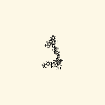 Cc1ncsc1-c1ccc(CNC(=O)[C@@H]2C[C@@H](O)CN2C(=O)[C@@H](NC(=O)COCc2ccc(C(=O)Nc3cc(F)c([C@@H]4c5[nH]c6ccccc6c5C[C@@H](C)N4CC(C)(C)F)c(F)c3)nc2)C(C)(C)C)cc1